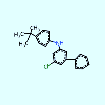 CC(C)(C)c1ccc(Nc2cc(Cl)cc(-c3ccccc3)c2)cc1